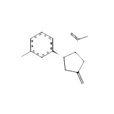 C=C1C[C@@H](C(=O)O)[C@H](c2cccc(F)c2)C1